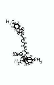 Cc1ccc(S(=O)(=O)OCCOCCOCCN(C(=O)OC(C)(C)C)C23CC4C[C@@](C)(C2)C[C@](C)(C4)C3)cc1